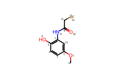 COc1ccc(O)c(NC(=O)CBr)c1